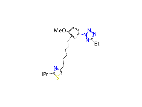 CCc1nnn(-c2ccc(OC)c(CCCCCCc3csc(C(C)C)n3)c2)n1